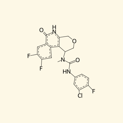 CN(C(=O)Nc1ccc(F)c(Cl)c1)C1COCc2[nH]c(=O)c3cc(F)c(F)cc3c21